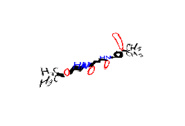 CC(C)COCCCNC(=O)CCCC(=O)NC[C@H]1CC[C@H](C(=O)C(C)C)CC1